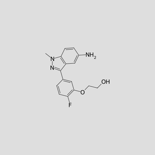 Cn1nc(-c2ccc(F)c(OCCO)c2)c2cc(N)ccc21